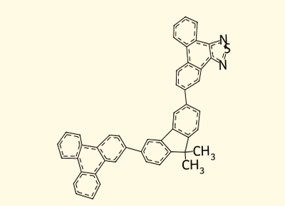 CC1(C)c2ccc(-c3ccc4c5ccccc5c5ccccc5c4c3)cc2-c2cc(-c3ccc4c5ccccc5c5nsnc5c4c3)ccc21